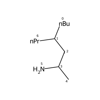 CCCCC([CH]C(C)N)CCC